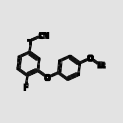 CCOc1ccc(Oc2cc([CH]C#N)ccc2F)cc1